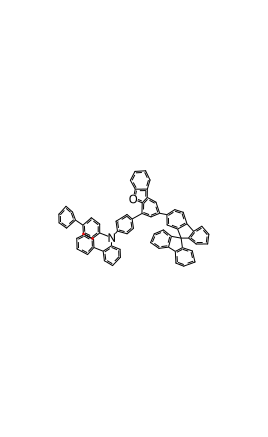 c1ccc(-c2ccc(N(c3ccc(-c4cc(-c5ccc6c(c5)C5(c7ccccc7-c7ccccc75)c5ccccc5-6)cc5c4oc4ccccc45)cc3)c3ccccc3-c3ccccc3)cc2)cc1